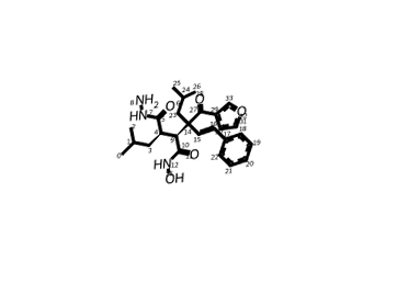 CC(C)C[C@@H](C(=O)NN)[C@H](C(=O)NO)C(/C=C/c1ccccc1)(CC(C)C)C(=O)c1ccoc1